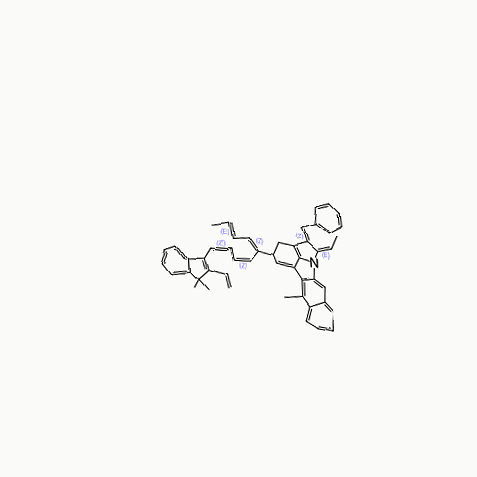 C=CC1=C(\C=C/C=C\C(=C/C=C/C)C2C=c3c4c(C)c5ccccc5cc4n4c(=C/C)/c(=C\c5ccccc5)c(c34)C2)c2ccccc2C1(C)C